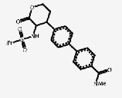 CNC(=O)c1ccc(-c2ccc(C3CCOC(=O)C3NS(=O)(=O)C(C)C)cc2)cc1